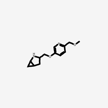 COCc1ccc(OCC2CC3CC3N2)cn1